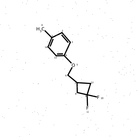 Cc1ccc(OCC2CC(F)(F)C2)cc1